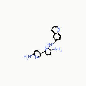 Nc1ccc(-c2ccc(N)c(NCc3ccc4ncccc4c3)n2)cn1